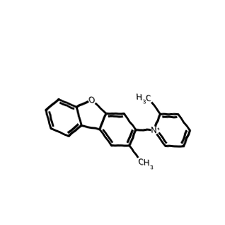 Cc1cc2c(cc1-[n+]1ccccc1C)oc1ccccc12